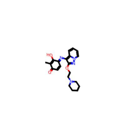 CC1=C(O)/C(=N/c2c(OCCN3CCCCC3)nn3ccccc23)C=CC1=O